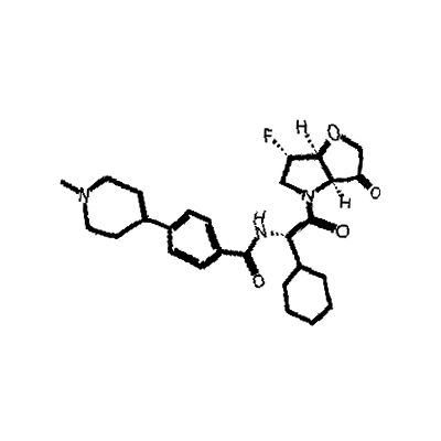 CN1CCC(c2ccc(C(=O)N[C@H](C(=O)N3C[C@H](F)[C@H]4OCC(=O)[C@H]43)C3CCCCC3)cc2)CC1